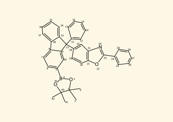 CC1(C)OB(c2ccc3c(c2)C(c2ccccc2)(c2ccc4oc(-c5ccccc5)nc4c2)c2ccccc2-3)OC1(C)C